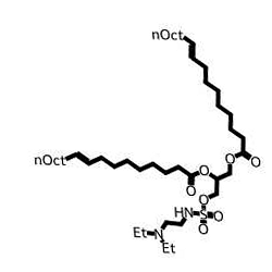 CCCCCCCCC=CCCCCCCCC(=O)OCC(COS(=O)(=O)NCCN(CC)CC)OC(=O)CCCCCCCC=CCCCCCCCC